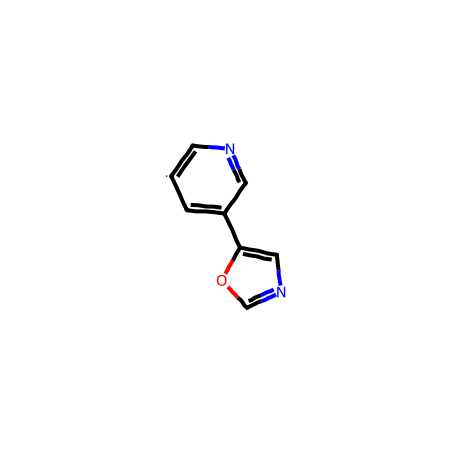 [c]1cncc(-c2cnco2)c1